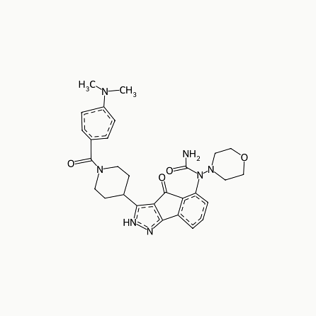 CN(C)c1ccc(C(=O)N2CCC(c3[nH]nc4c3C(=O)c3c-4cccc3N(C(N)=O)N3CCOCC3)CC2)cc1